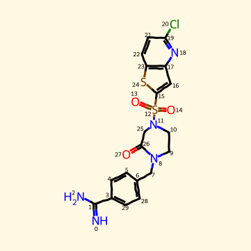 N=C(N)c1ccc(CN2CCN(S(=O)(=O)c3cc4nc(Cl)ccc4s3)CC2=O)cc1